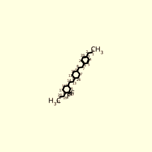 CCCc1ccc(CCC2CCC(CCC3CCC(CCC)C(F)(F)C3)CC2)cc1